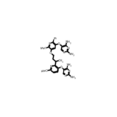 COc1ccc(Oc2cnc(N)nc2N)c(C(C)CCOc2cc(Oc3cnc(N)nc3N)c(C(C)C)nc2OC)n1